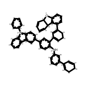 C1=CC2Oc3cccc(C4=CC(c5cc(-c6ccc7c(c6)c6ccccc6n7-c6ccccc6)ccc5Nc5cccc(C6=CCCC=C6)c5)=CCC4)c3C2C=C1